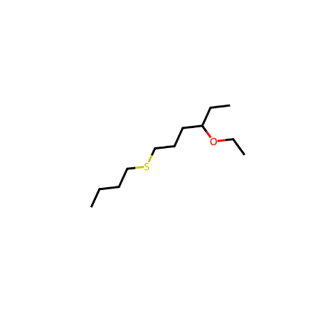 CCCCSCCCC(CC)OCC